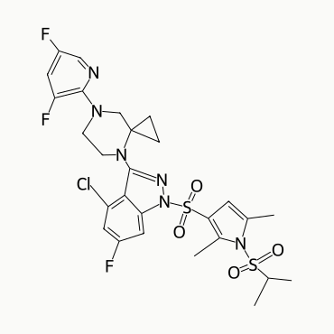 Cc1cc(S(=O)(=O)n2nc(N3CCN(c4ncc(F)cc4F)CC34CC4)c3c(Cl)cc(F)cc32)c(C)n1S(=O)(=O)C(C)C